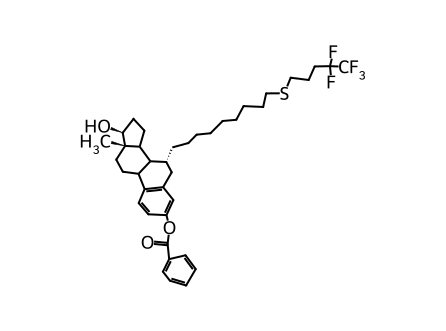 C[C@]12CCC3c4ccc(OC(=O)c5ccccc5)cc4C[C@@H](CCCCCCCCCSCCCC(F)(F)C(F)(F)F)C3C1CC[C@@H]2O